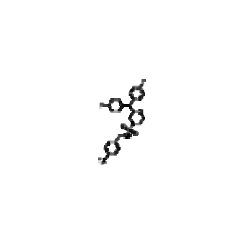 O=S(=O)(NCc1ccc(C(F)(F)F)cc1)N1CCOC(C(c2ccc(F)cc2)c2ccc(F)cc2)C1